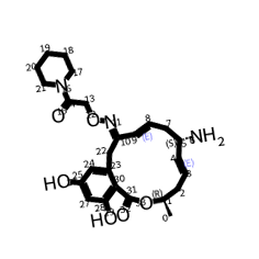 C[C@@H]1C/C=C/[C@@H](N)C/C=C/C(=NOCC(=O)N2CCCCC2)Cc2cc(O)cc(O)c2C(=O)O1